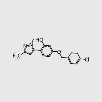 Cn1nc(C(F)(F)F)cc1-c1ccc(OCC2=CC=C(Cl)CC2)cc1O